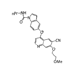 CCCNC(=O)n1ccc2cc(Oc3ccnc4cc(OCCOC)c(C#N)cc34)ccc21